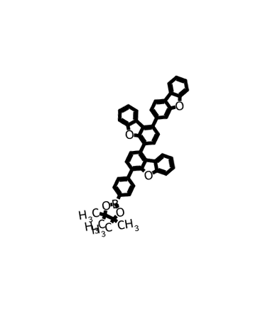 CC1(C)OB(c2ccc(-c3ccc(-c4ccc(-c5ccc6c(c5)oc5ccccc56)c5c4oc4ccccc45)c4c3oc3ccccc34)cc2)OC1(C)C